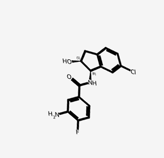 Nc1cc(C(=O)N[C@@H]2c3cc(Cl)ccc3C[C@@H]2O)ccc1F